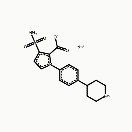 NS(=O)(=O)c1ccn(-c2ccc(C3CCNCC3)cc2)c1C(=O)[O-].[Na+]